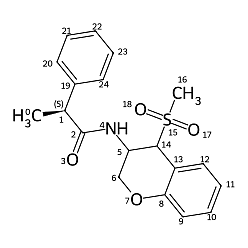 C[C@H](C(=O)NC1COc2ccccc2C1S(C)(=O)=O)c1ccccc1